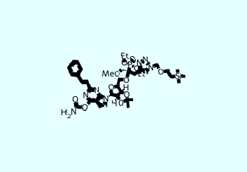 CCOP(=O)(OCC)[C@@](COC)(Cc1nnn(COCC[Si](C)(C)C)n1)OCC1O[C@@H](n2ncc3c(OC(N)=O)nc(/C=C/c4ccccc4)nc32)[C@@H]2OC(C)(C)O[C@H]12